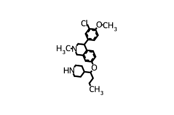 CCCC(Oc1ccc2c(c1)CN(C)CC2c1ccc(OC)c(Cl)c1)C1CCNCC1